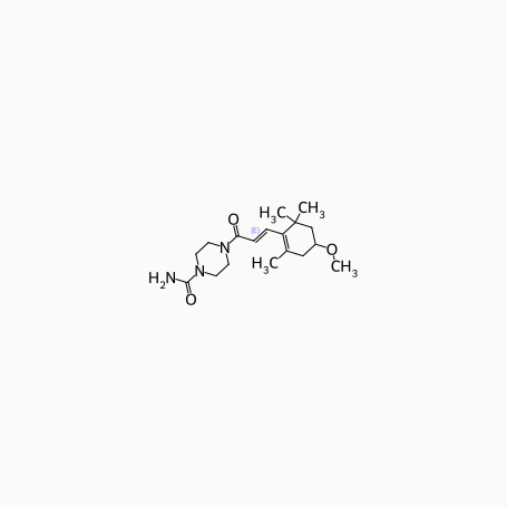 COC1CC(C)=C(/C=C/C(=O)N2CCN(C(N)=O)CC2)C(C)(C)C1